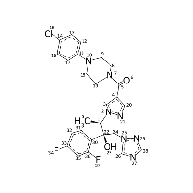 C[C@@H](n1cc(C(=O)N2CCN(c3ccc(Cl)cc3)CC2)cn1)[C@](O)(Cn1cncn1)c1ccc(F)cc1F